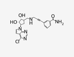 NC(=O)c1cccc(C#CCNCC2C[C@@H](n3ccc4c(Cl)ncnc43)[C@H](O)[C@@H]2O)c1